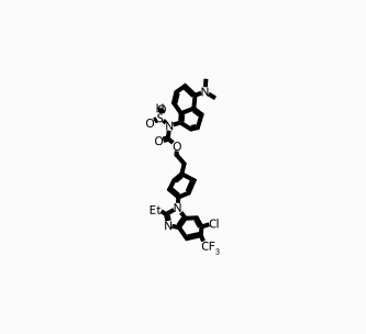 CCc1nc2cc(C(F)(F)F)c(Cl)cc2n1-c1ccc(CCOC(=O)N(c2cccc3c(N(C)C)cccc23)[SH](=O)=O)cc1